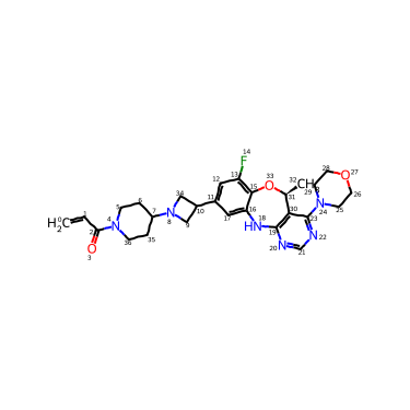 C=CC(=O)N1CCC(N2CC(c3cc(F)c4c(c3)Nc3ncnc(N5CCOCC5)c3[C@H](C)O4)C2)CC1